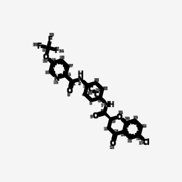 O=C(NC12CCC(NC(=O)[C@@H]3CC(=O)c4cc(Cl)ccc4O3)(CC1)CC2)c1ccc(OC(F)(F)F)cn1